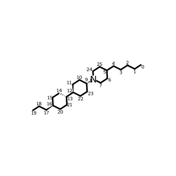 CCCCCC1CCN([C@H]2CC[C@H]([C@H]3CC[C@H](CCC)CC3)CC2)CC1